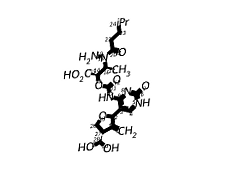 C=C1C(c2c[nH]c(=O)nc2NC(=O)O[C@@H](C(=O)O)[C@H](C)N(N)C(=O)CCC(C)C)OC[C@H]1C(O)O